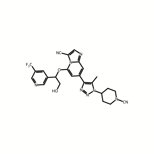 Cc1c(-c2cc(OC(CO)c3cncc(C(F)(F)F)c3)n3c(C#N)cnc3c2)nnn1C1CCN(C#N)CC1